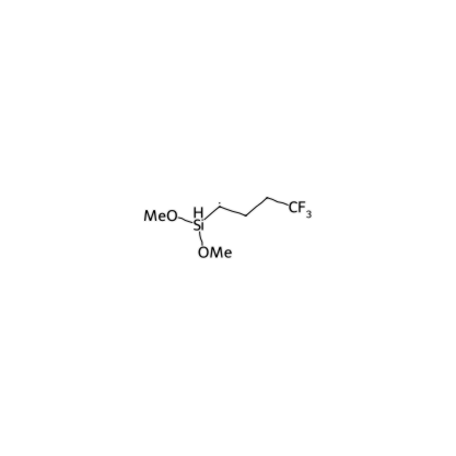 CO[SiH]([CH]CCC(F)(F)F)OC